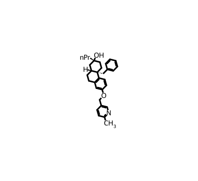 CCC[C@@]1(O)CC[C@@]2(Cc3ccccc3)c3ccc(OCc4ccc(C)nc4)cc3CC[C@@H]2C1